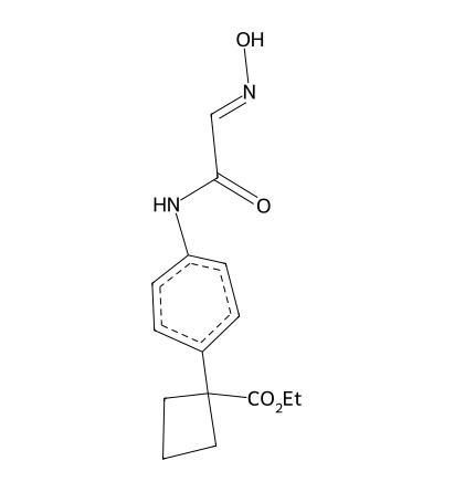 CCOC(=O)C1(c2ccc(NC(=O)/C=N/O)cc2)CCC1